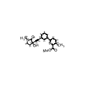 COC(=O)c1nc(-c2cccc(C#C[C@]3(O)CCN(C)C3=O)c2)ccc1C